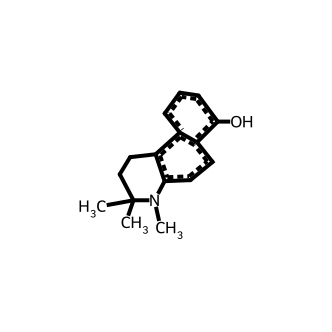 CN1c2ccc3c(O)cccc3c2CCC1(C)C